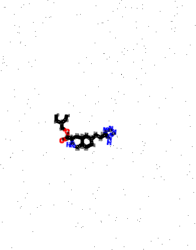 CCC(CC)COC(=O)C1CC2CC(CCc3nnn[nH]3)CCC2CN1